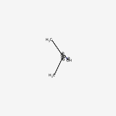 CCCCCCCCCCCCCCCCCC(=O)Oc1ccc(/C=C/C(=O)O)cc1OC(=O)CCCCCCCCCCCCCCCCC